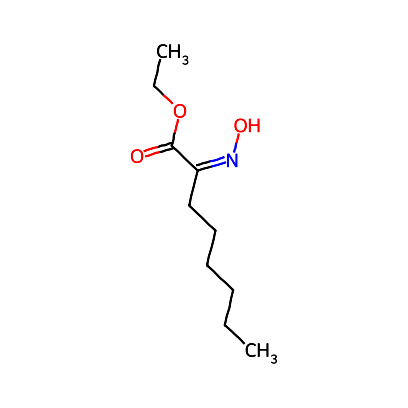 CCCCCCC(=NO)C(=O)OCC